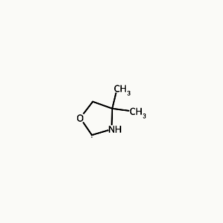 CC1(C)CO[CH]N1